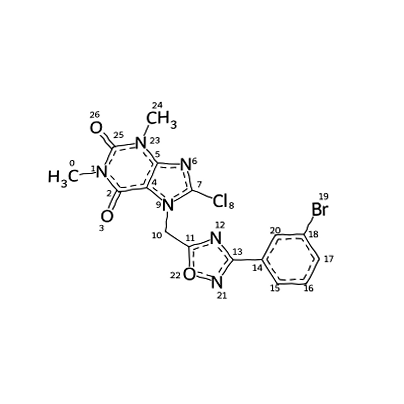 Cn1c(=O)c2c(nc(Cl)n2Cc2nc(-c3cccc(Br)c3)no2)n(C)c1=O